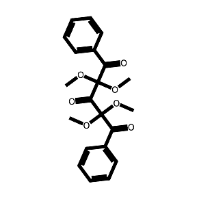 COC(OC)(C(=O)c1ccccc1)C(=O)C(OC)(OC)C(=O)c1ccccc1